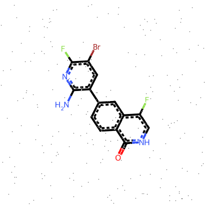 Nc1nc(F)c(Br)cc1-c1ccc2c(=O)[nH]cc(F)c2c1